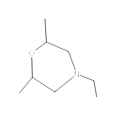 C[CH]N1CC(C)OC(C)C1